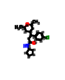 CC1CC(C(CC(=O)NC2CCCC2)c2ccc(Cl)cc2)CC(C)O1